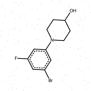 OC1CCN(c2cc(F)cc(Br)c2)CC1